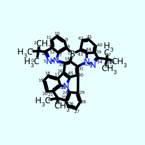 CC(C)(C)c1nn2c3c(cccc13)B1c3c-2c2c4cccc5c4n4c6c(cccc6c(c3-n3nc(C(C)(C)C)c6cccc1c63)c24)C5(C)C